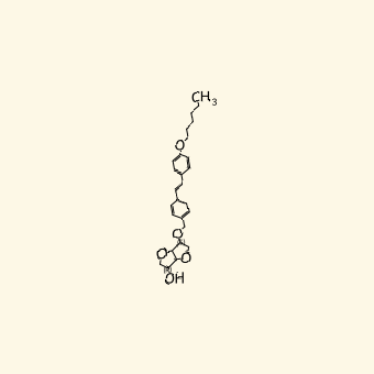 CCCCCCOc1ccc(C=Cc2ccc(CO[C@H]3COC4C3OC[C@H]4O)cc2)cc1